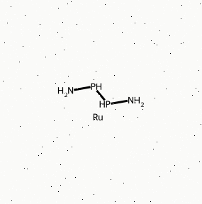 NPPN.[Ru]